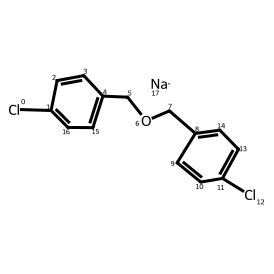 Clc1ccc(COCc2ccc(Cl)cc2)cc1.[Na]